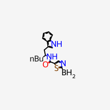 Bc1ncc(C(=O)NC(CCCC)Cc2c[nH]c3ccccc23)s1